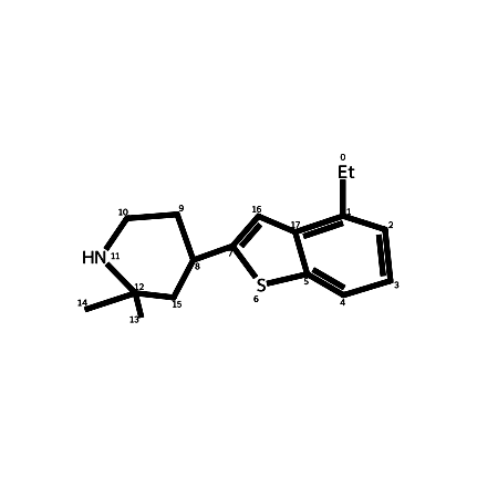 CCc1cccc2sc(C3CCNC(C)(C)C3)cc12